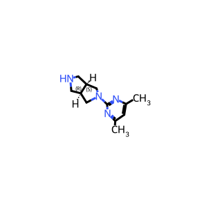 Cc1cc(C)nc(N2C[C@H]3CNC[C@H]3C2)n1